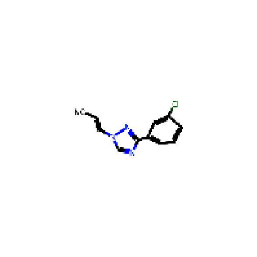 N#CC=Cn1cnc(-c2cccc(Cl)c2)n1